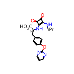 CCCNc1c(N[C@@H](Cc2ccc(Oc3ncccn3)cc2)C(=O)O)c(=O)c1=O